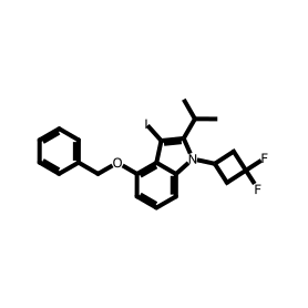 CC(C)c1c(I)c2c(OCc3ccccc3)cccc2n1C1CC(F)(F)C1